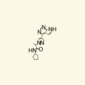 CC(C(=O)NC1CCCC1)n1cc(-c2ncnc3[nH]ccc23)cn1